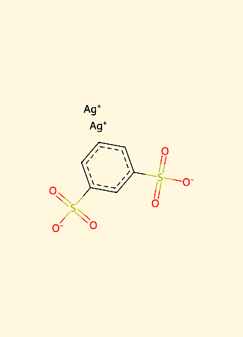 O=S(=O)([O-])c1cccc(S(=O)(=O)[O-])c1.[Ag+].[Ag+]